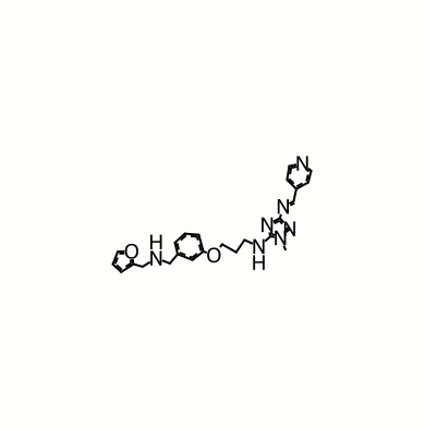 Cn1nc(/N=C/c2ccncc2)nc1NCCCOc1cccc(CNCc2ccco2)c1